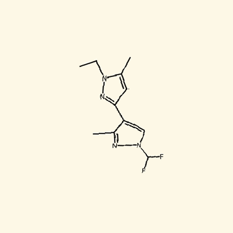 CCn1nc(-c2cn(C(F)F)nc2C)[c]c1C